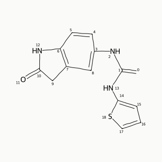 C=C(Nc1ccc2c(c1)CC(=O)N2)Nc1cccs1